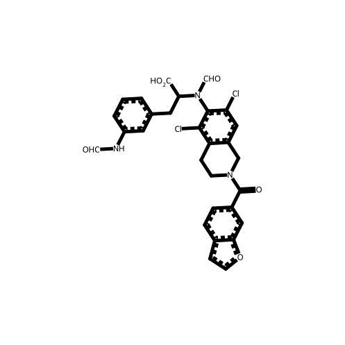 O=CNc1cccc(CC(C(=O)O)N(C=O)c2c(Cl)cc3c(c2Cl)CCN(C(=O)c2ccc4ccoc4c2)C3)c1